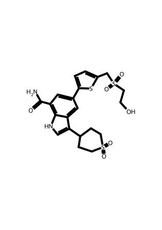 NC(=O)c1cc(-c2ccc(CS(=O)(=O)CCO)s2)cc2c(C3CCS(=O)(=O)CC3)c[nH]c12